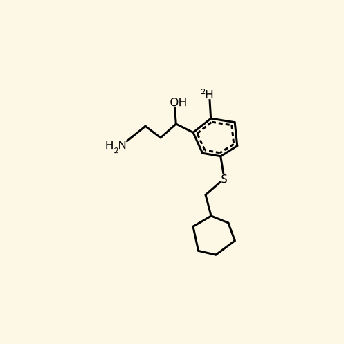 [2H]c1ccc(SCC2CCCCC2)cc1C(O)CCN